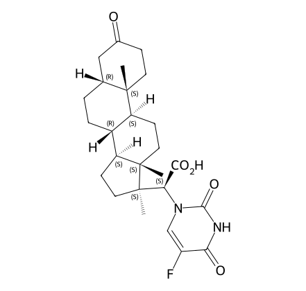 C[C@]12CCC(=O)C[C@H]1CC[C@@H]1[C@@H]2CC[C@@]2(C)[C@H]1CC[C@]2(C)[C@@H](C(=O)O)n1cc(F)c(=O)[nH]c1=O